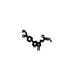 CC(C)CC(=O)N1CCN(c2cnc3[nH]cc(C=CC(N)=O)c3c2)CC1